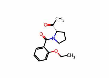 CCOc1ccccc1C(=O)N1CCC[C@H]1C(C)=O